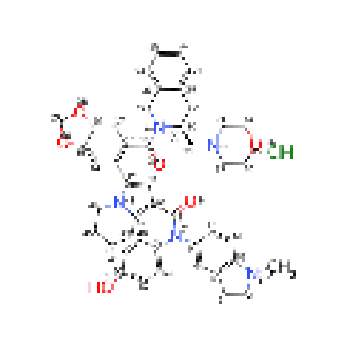 CN1CCc2cc(N(C(=O)c3cc(-c4cc5c(cc4C(=O)N4Cc6ccccc6C[C@H]4CN4CCOCC4)OCO5)n4c3CCCC4)c3ccc(O)cc3)ccc21.Cl